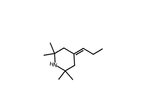 CCC=C1CC(C)(C)NC(C)(C)C1